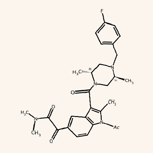 CC(=O)n1c(C)c(C(=O)N2C[C@H](C)N(Cc3ccc(F)cc3)C[C@H]2C)c2cc(C(=O)C(=O)N(C)C)ccc21